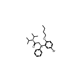 CCCCOc1ccc(Br)cc1[C@H](CC(=O)N(C(C)C)C(C)C)c1ccccc1